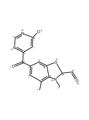 Cc1cc(C(=O)c2cc(Cl)ncn2)cc2c1N(C)C(C=O)O2